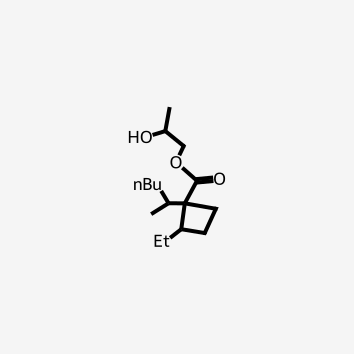 CCCCC(C)C1(C(=O)OCC(C)O)CCC1CC